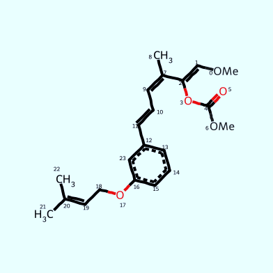 COC=C(OC(=O)OC)C(C)=CC=Cc1cccc(OCC=C(C)C)c1